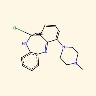 CN1CCN(C2=CC=CC34CC=CC(Cl)=C3Nc3ccccc3N=C24)CC1